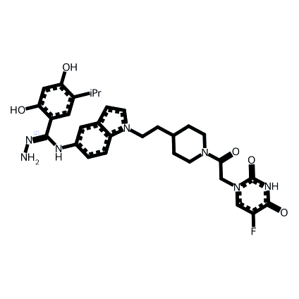 CC(C)c1cc(/C(=N/N)Nc2ccc3c(ccn3CCC3CCN(C(=O)Cn4cc(F)c(=O)[nH]c4=O)CC3)c2)c(O)cc1O